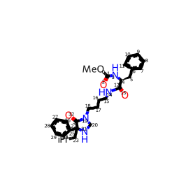 COC(=O)N[C@@H](Cc1ccccc1)C(=O)NCCCCN1CNC(CC(C)C)(c2ccccc2)C1=O